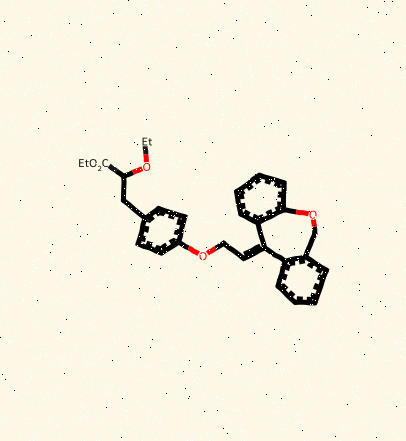 CCOC(=O)C(Cc1ccc(OCC=C2c3ccccc3COc3ccccc32)cc1)OCC